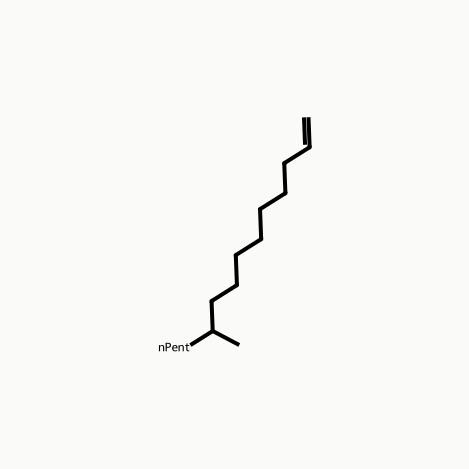 C=CCCCCCCCC(C)CCCCC